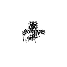 CC(C)(C)c1ccc2c(c1)C1(C)CCCCC1(C)N2c1cc2c3c(c1)N(c1ccc4c(c1)oc1ccccc14)c1cccc4c1B3c1c(cccc1[Si]4(c1ccccc1)c1ccccc1)N2c1ccc2c(c1)oc1ccccc12